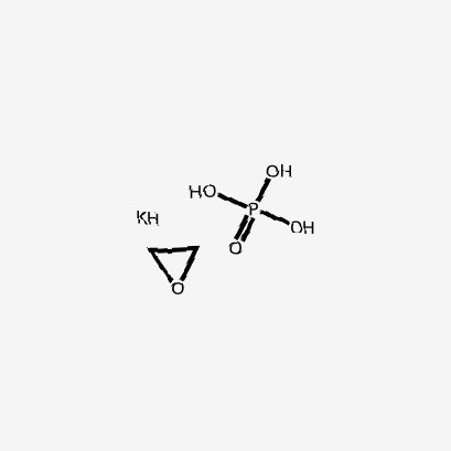 C1CO1.O=P(O)(O)O.[KH]